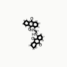 O=C1c2ccccc2C(=O)c2c(NCNc3cccc4c3C(=O)c3ccccc3C4=O)cccc21